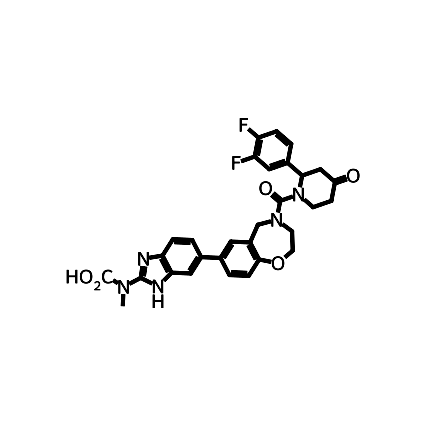 CN(C(=O)O)c1nc2ccc(-c3ccc4c(c3)CN(C(=O)N3CCC(=O)CC3c3ccc(F)c(F)c3)CCO4)cc2[nH]1